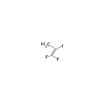 CC(I)=C(F)F